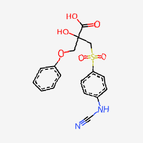 N#CNc1ccc(S(=O)(=O)CC(O)(COc2ccccc2)C(=O)O)cc1